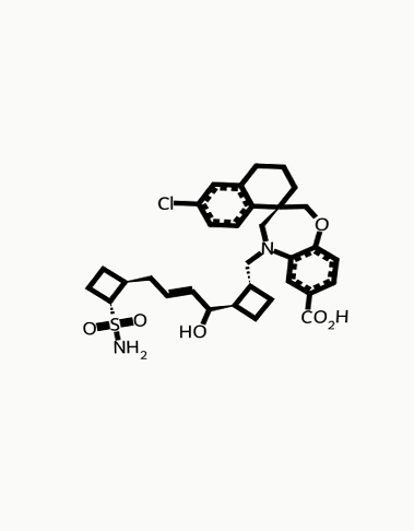 NS(=O)(=O)[C@@H]1CC[C@H]1C/C=C/C(O)[C@@H]1CC[C@H]1CN1C[C@@]2(CCCc3cc(Cl)ccc32)COc2ccc(C(=O)O)cc21